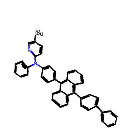 CC(C)(C)c1ccc(N(c2ccccc2)c2ccc(-c3c4ccccc4c(-c4ccc(-c5ccccc5)cc4)c4ccccc34)cc2)nc1